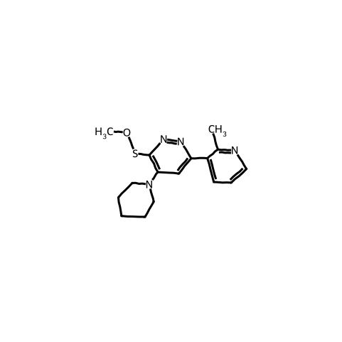 COSc1nnc(-c2cccnc2C)cc1N1CCCCC1